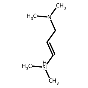 CN(C)CC=C[SiH](C)C